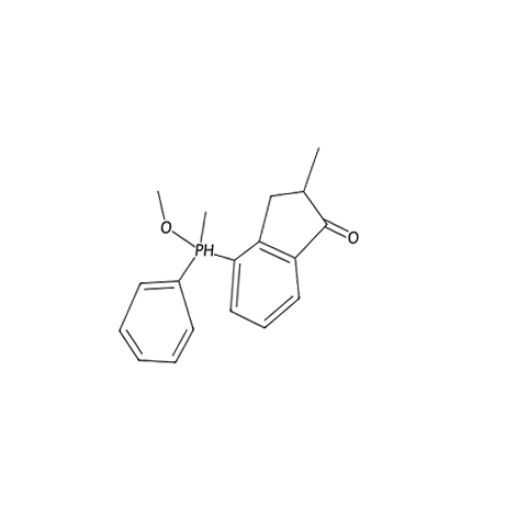 CO[PH](C)(c1ccccc1)c1cccc2c1CC(C)C2=O